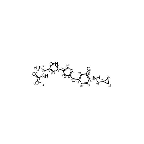 CC(=O)NC(C)c1nc(-c2cnc(Oc3ccc(NCC4CC4)c(Cl)c3)s2)no1